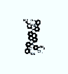 C=C(/C=C\C(C)=C\C)N(c1ccc2ccc3c(N(c4ccc(C)c(C)c4)c4cccc5c4oc4c(C(C)(C)C)cccc45)ccc4ccc1c2c43)c1cccc2c1oc1c(C(C)(C)C)cccc12